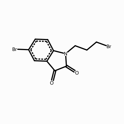 O=C1C(=O)N(CCCBr)c2ccc(Br)cc21